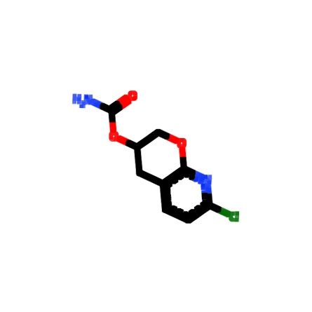 NC(=O)OC1COc2nc(Cl)ccc2C1